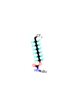 CCCCNC(=O)OC(F)(F)C(F)(F)C(F)(F)C(F)(F)C(F)(F)C(F)(F)CC(F)(F)F